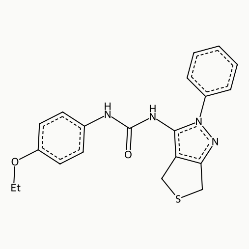 CCOc1ccc(NC(=O)Nc2c3c(nn2-c2ccccc2)CSC3)cc1